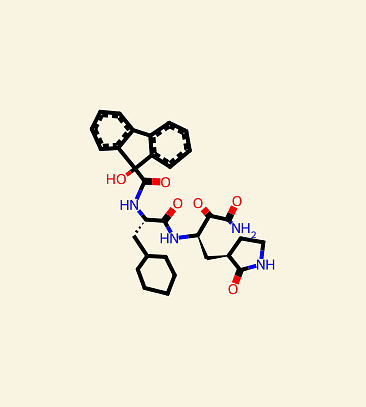 NC(=O)C(=O)[C@@H](C[C@H]1CCNC1=O)NC(=O)[C@H](CC1CCCCC1)NC(=O)C1(O)c2ccccc2-c2ccccc21